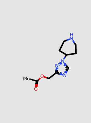 CC(C)(C)C(=O)OCc1ncn(C2CCNCC2)n1